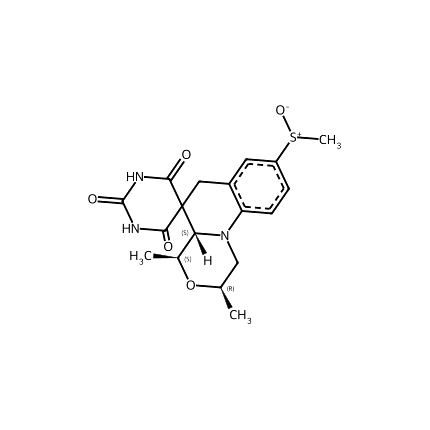 C[C@@H]1CN2c3ccc([S+](C)[O-])cc3CC3(C(=O)NC(=O)NC3=O)[C@H]2[C@H](C)O1